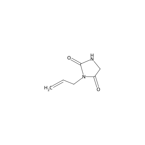 C=CCN1C(=O)CNC1=O